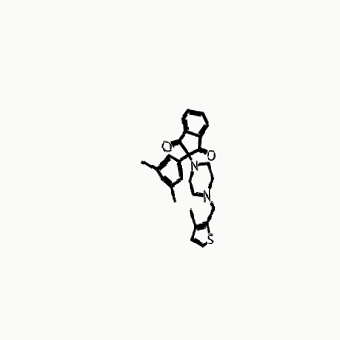 Cc1cc(C)cc(C2(N3CCN(Cc4sccc4C)CC3)C(=O)c3ccccc3C2=O)c1